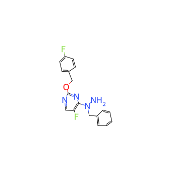 NN(Cc1ccccc1)c1nc(OCc2ccc(F)cc2)ncc1F